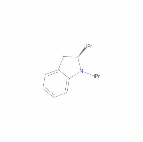 CC(C)[C@@H]1Cc2ccccc2N1C(C)C